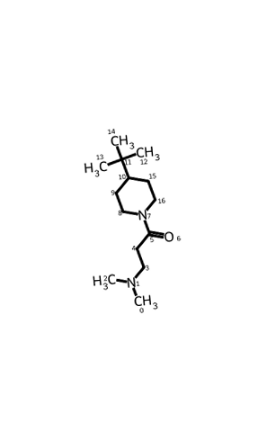 CN(C)CCC(=O)N1CCC(C(C)(C)C)CC1